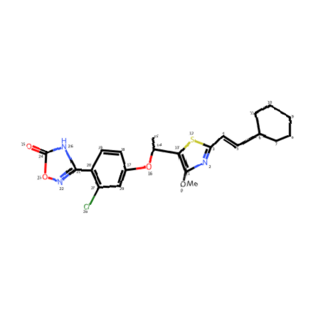 COc1nc(C=CC2CCCCC2)sc1C(C)Oc1ccc(-c2noc(=O)[nH]2)c(Cl)c1